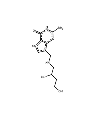 Nc1nc2c(CNCC(O)CCO)c[nH]c2c(=O)[nH]1